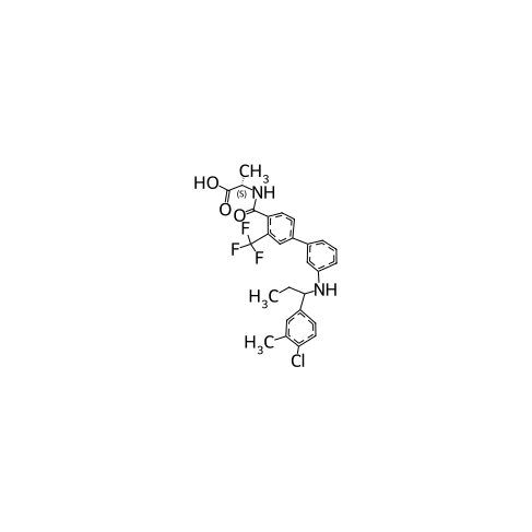 CCC(Nc1cccc(-c2ccc(C(=O)N[C@@H](C)C(=O)O)c(C(F)(F)F)c2)c1)c1ccc(Cl)c(C)c1